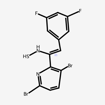 Fc1cc(F)cc(/C=C(\NS)c2nc(Br)ccc2Br)c1